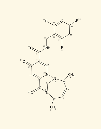 CC1C=CC(C)N2CN1C(=O)c1cc(=O)c(C(=O)NCc3c(F)cc(F)cc3F)cn12